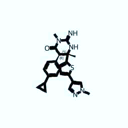 CN1C(=N)N[C@](C)(c2ccc(-c3cnn(C)c3)s2)[C@@H](c2ccc(C3CC3)cc2)C1=O